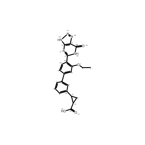 CCOc1cc(-c2cccc(C3CC3C(=O)O)c2)ccc1-c1nc2[nH]nnc2c(=O)[nH]1